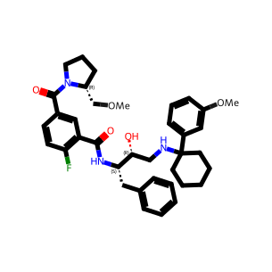 COC[C@H]1CCCN1C(=O)c1ccc(F)c(C(=O)N[C@@H](Cc2ccccc2)[C@H](O)CNC2(c3cccc(OC)c3)CCCCC2)c1